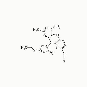 CCOC1=CC(=O)N(C2c3cc(C#N)ccc3O[C@@H](CC)[C@@H]2OC(C)=O)C1